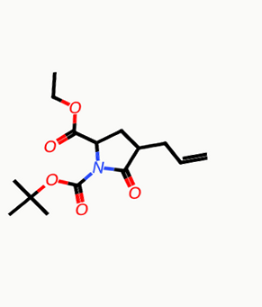 C=CCC1CC(C(=O)OCC)N(C(=O)OC(C)(C)C)C1=O